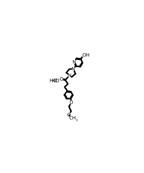 COCCOc1ccc(CCC(=O)N2CCN(c3ccc(O)cn3)CC2)cc1.Cl.Cl